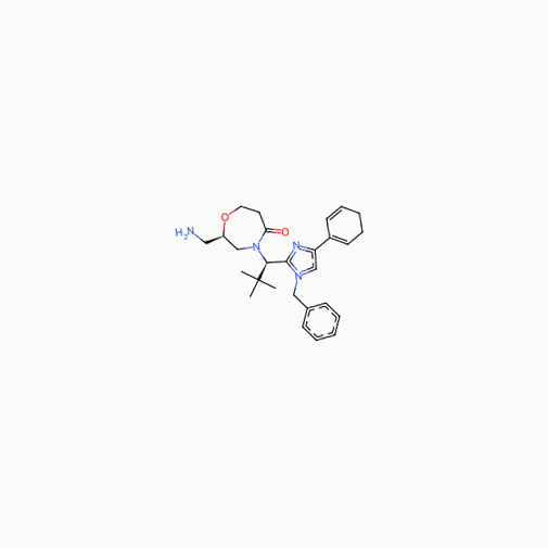 CC(C)(C)[C@H](c1nc(C2=CCCC=C2)cn1Cc1ccccc1)N1C[C@@H](CN)OCCC1=O